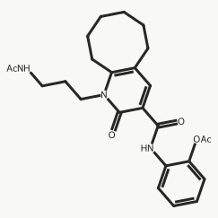 CC(=O)NCCCn1c2c(cc(C(=O)Nc3ccccc3OC(C)=O)c1=O)CCCCCC2